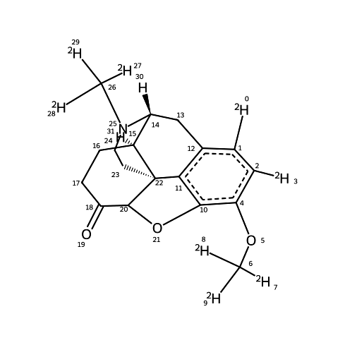 [2H]c1c([2H])c(OC([2H])([2H])[2H])c2c3c1C[C@@H]1[C@@H]4CCC(=O)C(O2)[C@]34CCN1C([2H])([2H])[2H]